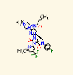 CC=CC(=O)Nc1cc(C#CCN(C(=O)[C@@H]2CNC(=O)N2c2cc(C(F)(F)F)cc(C)n2)c2ccc(F)cc2)cnc1N1CCN(C)CC1